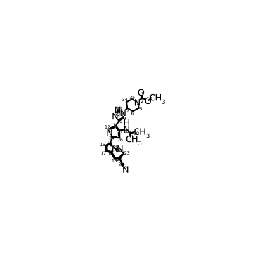 COC(=O)N1CCC(n2cc(-c3cnc(-c4ccc5cc(C#N)cnn45)cc3NC(C)C)nn2)CC1